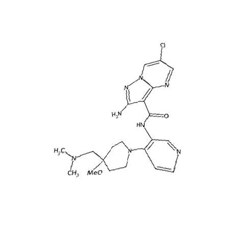 COC1(CN(C)C)CCN(c2ccncc2NC(=O)c2c(N)nn3cc(Cl)cnc23)CC1